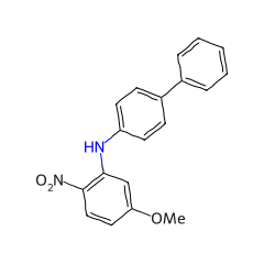 COc1ccc([N+](=O)[O-])c(Nc2ccc(-c3ccccc3)cc2)c1